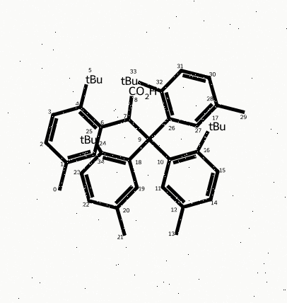 Cc1ccc(C(C)(C)C)c(C(C(=O)O)C(c2cc(C)ccc2C(C)(C)C)(c2cc(C)ccc2C(C)(C)C)c2cc(C)ccc2C(C)(C)C)c1